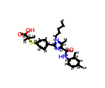 CCCCCn1c(-c2ccc(SC(C)(C)C(=O)O)cc2)nc(C(=O)Nc2ccc(C)cc2C)c1C